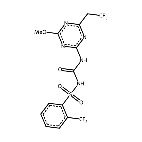 COc1nc(CC(F)(F)F)nc(NC(=O)NS(=O)(=O)c2ccccc2C(F)(F)F)n1